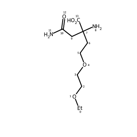 CCOCCOCCC(N)(CC(N)=O)C(=O)O